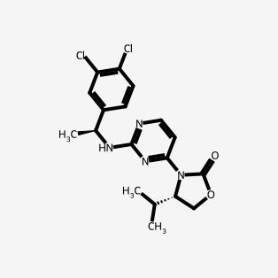 CC(C)[C@H]1COC(=O)N1c1ccnc(N[C@@H](C)c2ccc(Cl)c(Cl)c2)n1